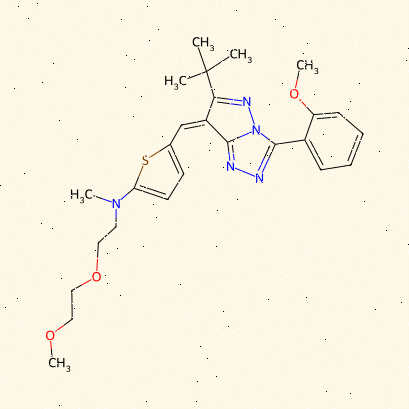 COCCOCCN(C)c1ccc(/C=c2/c(C(C)(C)C)nn3c(-c4ccccc4OC)nnc23)s1